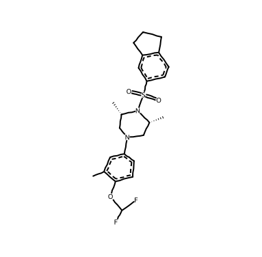 Cc1cc(N2C[C@@H](C)N(S(=O)(=O)c3ccc4c(c3)CCC4)[C@@H](C)C2)ccc1OC(F)F